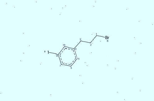 BrCCCc1cccc(I)c1